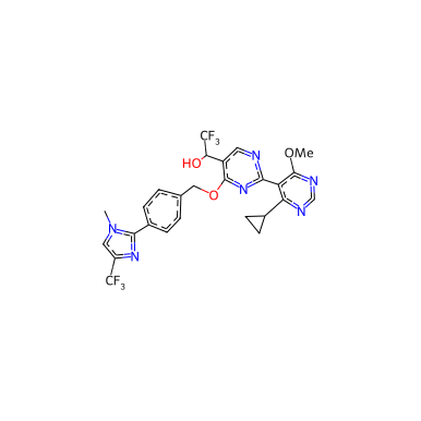 COc1ncnc(C2CC2)c1-c1ncc(C(O)C(F)(F)F)c(OCc2ccc(-c3nc(C(F)(F)F)cn3C)cc2)n1